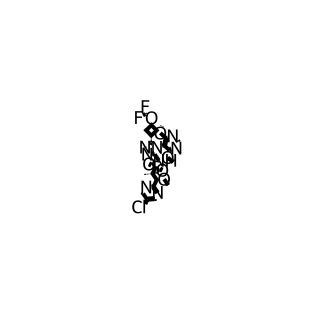 COc1ncnc(OC)c1-n1c(NS(=O)(=O)[C@@H](C)[C@H](OC)c2ncc(Cl)cn2)nnc1[C@H]1C[C@@H](OC(F)F)C1